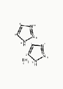 B.c1c[nH]nn1.c1c[nH]nn1